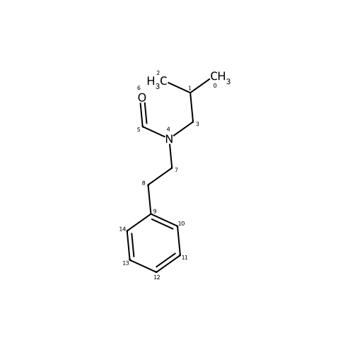 CC(C)CN(C=O)CCc1ccccc1